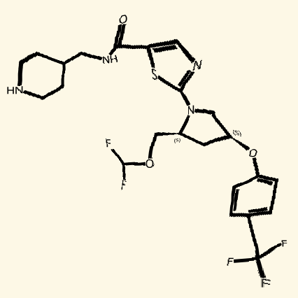 O=C(NCC1CCNCC1)c1cnc(N2C[C@@H](Oc3ccc(C(F)(F)F)cc3)C[C@H]2COC(F)F)s1